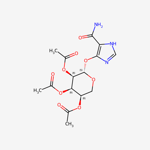 CC(=O)O[C@H]1[C@H](Oc2nc[nH]c2C(N)=O)OC[C@@H](OC(C)=O)[C@H]1OC(C)=O